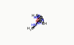 C#CCN(Cc1ccc2nc(C)[nH]c(=O)c2c1)c1ccc(C(=O)NCCNCCCC)cc1